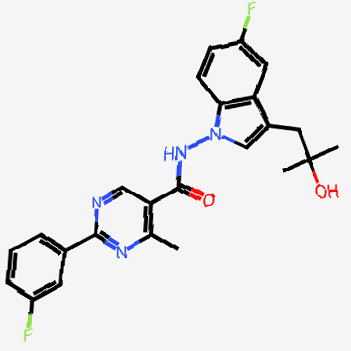 Cc1nc(-c2cccc(F)c2)ncc1C(=O)Nn1cc(CC(C)(C)O)c2cc(F)ccc21